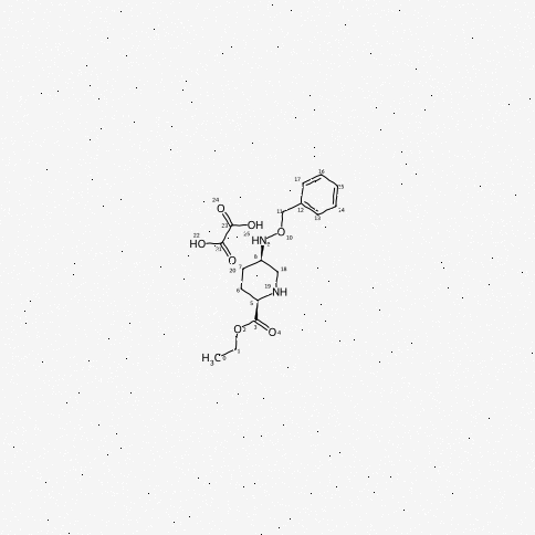 CCOC(=O)[C@H]1CC[C@@H](NOCc2ccccc2)CN1.O=C(O)C(=O)O